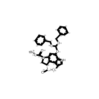 Cc1c[nH]c2c(OC(OCc3ccccc3)OCc3ccccc3)cc3c(c12)[C@H](CCl)CN3C(=O)OC(C)(C)C